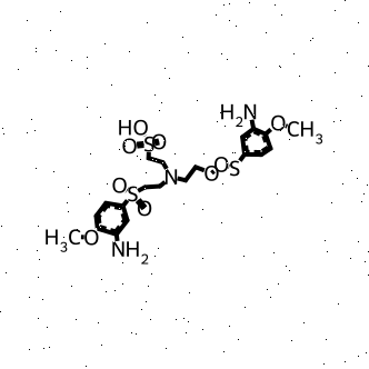 COc1ccc(SOOCCN(CCS(=O)(=O)O)CCS(=O)(=O)c2ccc(OC)c(N)c2)cc1N